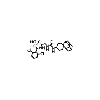 O=C(NC[C@H](NC(=O)c1c(Cl)cccc1Cl)C(=O)O)NC1CCC2(CC1)C1CC3CC(C1)CC2C3